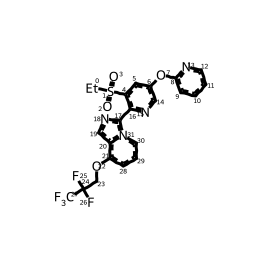 CCS(=O)(=O)c1cc(Oc2ccccn2)cnc1-c1ncc2c(OCC(F)(F)C(F)(F)F)cccn12